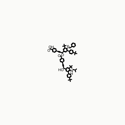 CC(C)CNc1c(-c2ccc(C(C)(C)C)cc2)cc(C(O)C#Cc2ccc(C(=O)OC(C#Cc3ccc(C(=O)O)cc3)c3cc(-c4ccc(C(C)(C)C)cc4)c(N(C)Cc4ccccc4)c(C(C)(C)C)c3)cc2)cc1C(C)(C)C